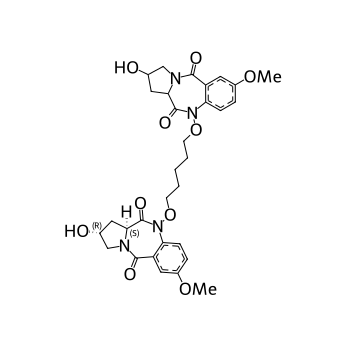 COc1ccc2c(c1)C(=O)N1CC(O)CC1C(=O)N2OCCCCCON1C(=O)[C@@H]2C[C@@H](O)CN2C(=O)c2cc(OC)ccc21